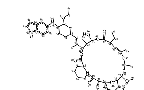 CCOC1CC(C=C(C)C2OC(=O)C3CCCCN3C(=O)C(=O)C3(O)OC(C(OC)CC(C)C/C(C)=C/C(CC)C(=O)CC(O)C2C)C(OC)CC3C)CCC1Nc1ccc2[nH]ccc2c1